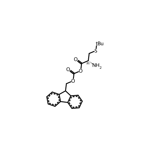 CC(C)(C)SC[C@H](N)C(=O)OC(=O)OCC1c2ccccc2-c2ccccc21